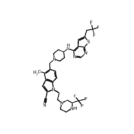 Cc1c(CN2CCC(Nc3ncnc4sc(CC(F)(F)F)cc34)CC2)ccc2c1cc(C#N)n2CCN1CCNC(C(F)(F)F)C1